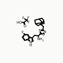 NC(Cc1c[nH]c2ccc(F)cc12)c1nc(CC23CC4CC(CC(C4)C2)C3)no1.O=C(O)C(F)(F)F